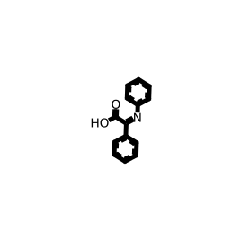 O=C(O)C(=Nc1ccccc1)c1ccccc1